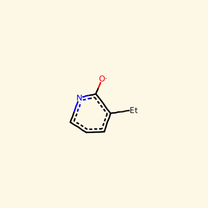 CCc1cccnc1[O]